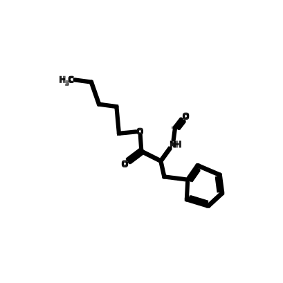 CCCCCOC(=O)C(Cc1ccccc1)N[C]=O